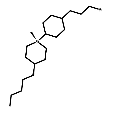 CCCCC[C@H]1CC[Si@](C)(C2CCC(CCCBr)CC2)CC1